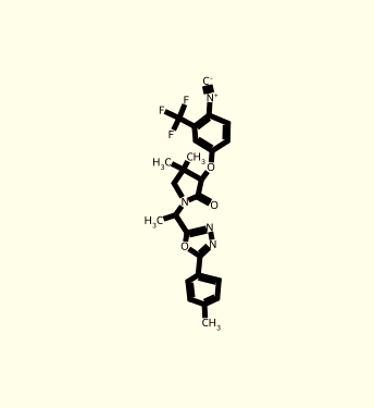 [C-]#[N+]c1ccc(OC2C(=O)N(C(C)c3nnc(-c4ccc(C)cc4)o3)CC2(C)C)cc1C(F)(F)F